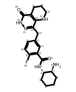 N[C@H]1CCCC[C@@H]1NC(=O)c1cc(Cc2n[nH]c(=O)c3c2NCCC3)ccc1F